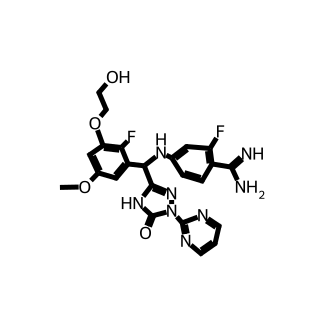 COc1cc(OCCO)c(F)c(C(Nc2ccc(C(=N)N)c(F)c2)c2nn(-c3ncccn3)c(=O)[nH]2)c1